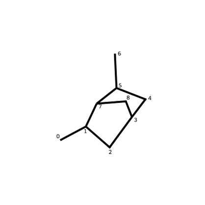 CC1CC2CC(C)C1C2